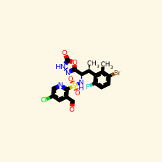 Cc1c(Br)ccc(F)c1[C@@H](C)[C@H](NS(=O)(=O)c1ncc(Cl)cc1C=O)c1n[nH]c(=O)o1